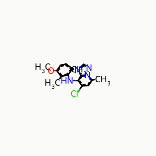 COc1ccc(C)c(Nc2c(Cl)cc(C)n3ncnc23)c1C